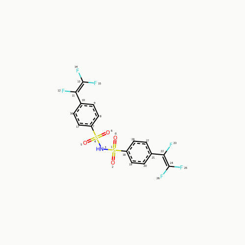 O=S(=O)(NS(=O)(=O)c1ccc(C(F)=C(F)F)cc1)c1ccc(C(F)=C(F)F)cc1